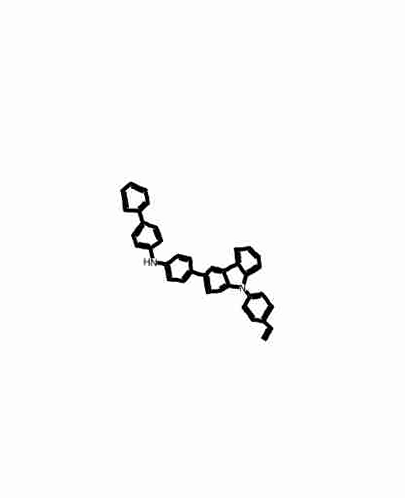 C=Cc1ccc(-n2c3ccccc3c3cc(-c4ccc(Nc5ccc(-c6ccccc6)cc5)cc4)ccc32)cc1